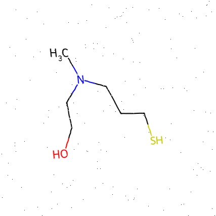 CN(CCO)CCCS